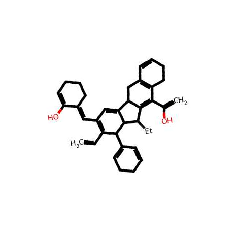 C=CC1=C(/C=C2\CCCC=C2O)C=C2C3CC4=C(CCC=C4)C(C(=C)O)=C3C(CC)C2C1C1=CCCC=C1